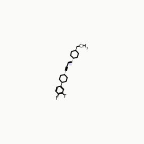 CC[C@H]1CC[C@H](/C=C/C#C[C@H]2CC[C@H](c3ccc(F)c(F)c3)CC2)CC1